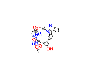 C[C@@H]1COC(=O)[C@@H]2CCCN(N2)C(=O)[C@@H](NC(=O)OC(C)(C)C)Cc2cc(O)cc(c2)-c2ccc3c(-c4ccccc4C#N)cn(c3c2)C1